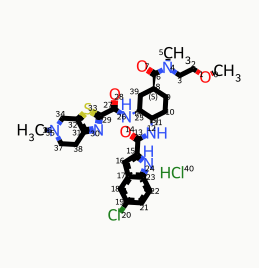 COCCN(C)C(=O)[C@H]1CC[C@H](NC(=O)c2cc3cc(Cl)ccc3[nH]2)[C@H](NC(=O)c2nc3c(s2)CN(C)CC3)C1.Cl